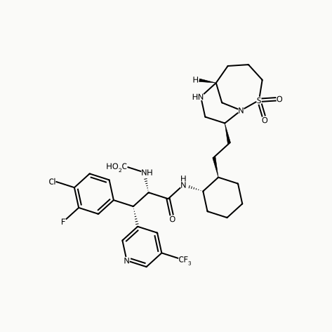 O=C(O)N[C@H](C(=O)N[C@H]1CCCC[C@@H]1CC[C@H]1CN[C@@H]2CCCS(=O)(=O)N1C2)[C@H](c1cncc(C(F)(F)F)c1)c1ccc(Cl)c(F)c1